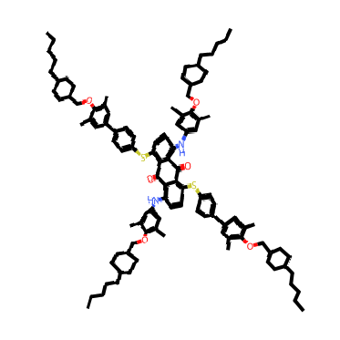 CCCCCC1CCC(COc2c(C)cc(Nc3ccc(Sc4ccc(-c5cc(C)c(OCC6CCC(CCCCC)CC6)c(C)c5)cc4)c4c3C(=O)c3c(Sc5ccc(-c6cc(C)c(OCC7CCC(CCCCC)CC7)c(C)c6)cc5)ccc(Nc5cc(C)c(OCC6CCC(CCCCC)CC6)c(C)c5)c3C4=O)cc2C)CC1